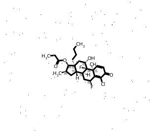 CCCC[C@]12C[C@H](O)[C@@]3(F)[C@@H](C[C@H](F)C4=C(Cl)C(=O)C=C[C@@]43C)[C@@H]1C[C@@H](C)[C@H]2OC(=O)CC